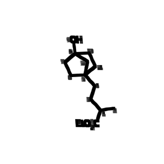 CCOC(=O)C(C)CCC12CCC(O)(CC1)C2